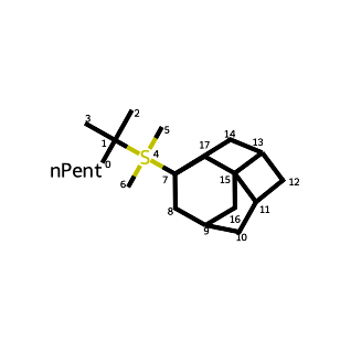 CCCCCC(C)(C)S(C)(C)C12CC3CC4CC(C1)C4(C3)C2